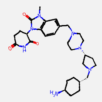 Cn1c(=O)n(C2CCC(=O)NC2=O)c2ccc(CN3CCN([C@@H]4CCN(C[C@H]5CC[C@H](N)CC5)C4)CC3)cc21